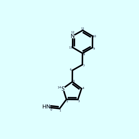 N=Cc1ccc(CCc2cccnc2)s1